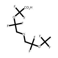 CC(F)(F)OC(F)(F)COCC(F)(F)OC(F)(F)C(=O)O